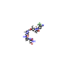 CCc1cc(N2C(=S)N(c3ccc(C#N)c(C(F)(F)F)c3)C(=O)C23CCCC3)ccc1OCCN1C[C@@H](C)N(CC(=O)Nc2cccc(NC3CCC(=O)NC3=O)c2)[C@@H](C)C1